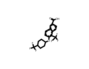 O=C(O)c1ccc2c(C(F)(F)F)c(OC3CCC(C(F)(F)F)CC3)ccc2c1